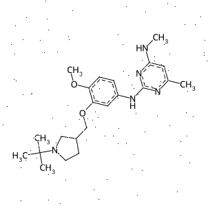 CNc1cc(C)nc(Nc2ccc(OC)c(OCC3CCN(C(C)(C)C)C3)c2)n1